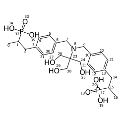 CC(Cc1ccc(CN(Cc2ccc(CC(C)P(=O)(O)O)cc2)C(CO)(CO)CO)cc1)P(=O)(O)O